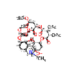 CC(=O)O[C@@H](C(=O)OC1=CC[C@]2(O)C3Cc4ccc(OC(=O)OC(C)(C)C)c5c4[C@@]2(CCN3C)[C@H]1O5)[C@@H](OC(C)=O)C(=O)O[C@H](CC(=O)OC(C)(C)C)C(=O)OC(C)(C)C